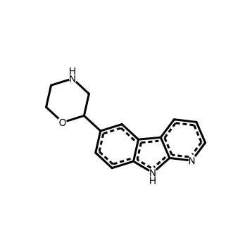 c1cnc2[nH]c3ccc(C4CNCCO4)cc3c2c1